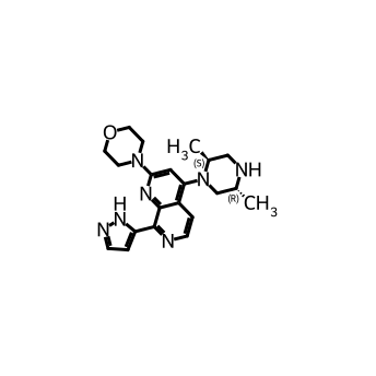 C[C@@H]1CN(c2cc(N3CCOCC3)nc3c(-c4ccn[nH]4)nccc23)[C@@H](C)CN1